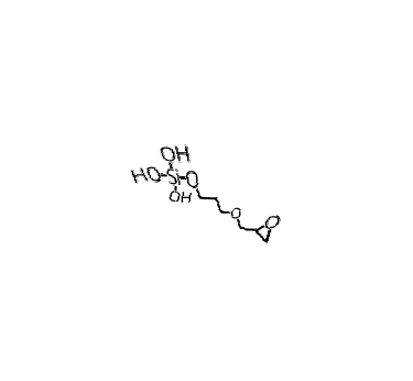 O[Si](O)(O)OCCCOCC1CO1